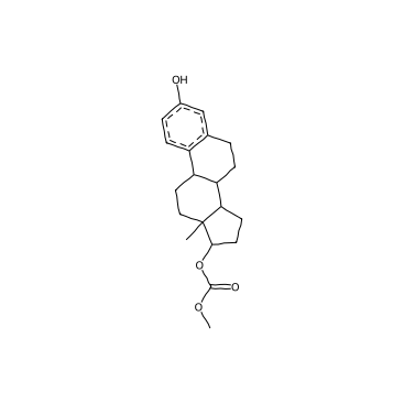 COC(=O)OC1CCC2C3CCc4cc(O)ccc4C3CCC12C